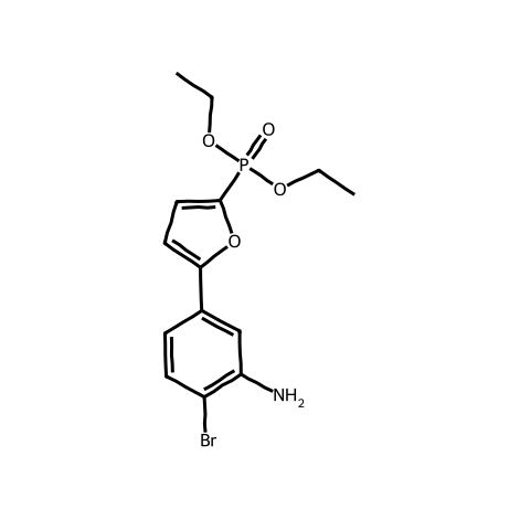 CCOP(=O)(OCC)c1ccc(-c2ccc(Br)c(N)c2)o1